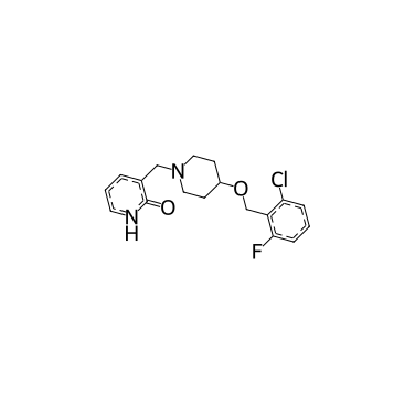 O=c1[nH]cccc1CN1CCC(OCc2c(F)cccc2Cl)CC1